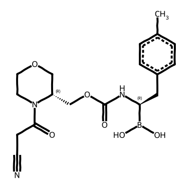 Cc1ccc(C[C@H](NC(=O)OC[C@H]2COCCN2C(=O)CC#N)B(O)O)cc1